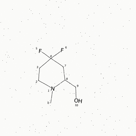 CN1CCC(F)(F)CC1CO